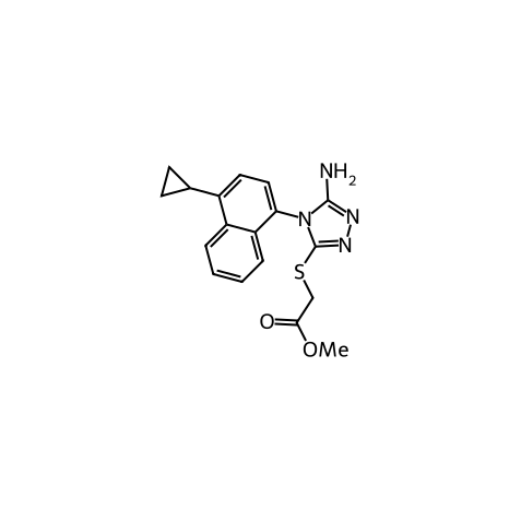 COC(=O)CSc1nnc(N)n1-c1ccc(C2CC2)c2ccccc12